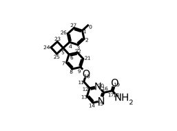 Cc1ccc(C2(c3ccc(OCc4ccnc(C(N)=O)n4)cc3)CCC2)cc1